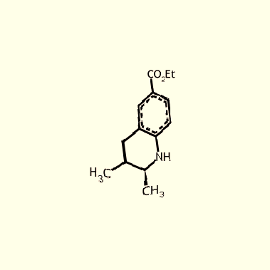 CCOC(=O)c1ccc2c(c1)CC(C)[C@H](C)N2